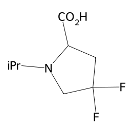 CC(C)N1CC(F)(F)CC1C(=O)O